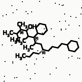 CCCC[C@@H](CCCCC1CCCCC1)CC(C)[C@H](C1CCCCC1)C(C)C(O)[C@H](C)C(C)C